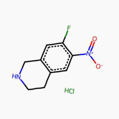 Cl.O=[N+]([O-])c1cc2c(cc1F)CNCC2